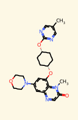 Cc1cnc(O[C@H]2CC[C@@H](Oc3cc(N4CCOCC4)cc4ncc(=O)n(C)c34)CC2)nc1